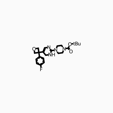 CC(C)(C)OC(=O)N1CCN(C2=NC=C(C3(c4ccc(F)cc4)COC3)CN2)CC1